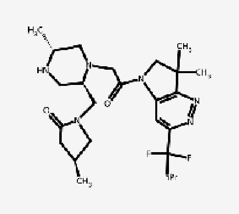 CCCC(F)(F)c1cc2c(nn1)C(C)(C)CN2C(=O)CN1C[C@@H](C)NC[C@@H]1CN1C[C@@H](C)CC1=O